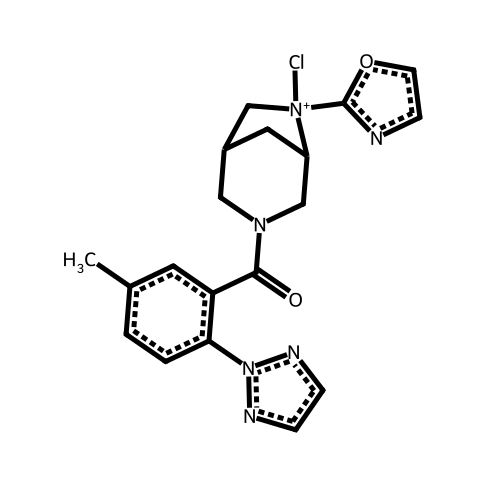 Cc1ccc(-n2nccn2)c(C(=O)N2CC3CC(C2)[N+](Cl)(c2ncco2)C3)c1